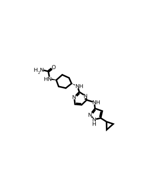 NC(=O)N[C@H]1CC[C@H](Nc2nccc(Nc3cc(C4CC4)[nH]n3)n2)CC1